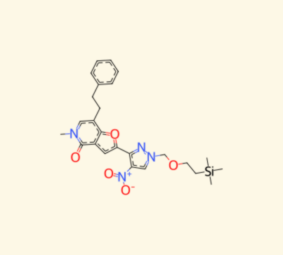 Cn1cc(CCc2ccccc2)c2oc(-c3nn(COCC[Si](C)(C)C)cc3[N+](=O)[O-])cc2c1=O